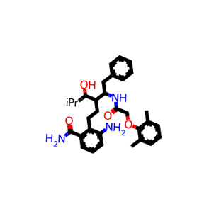 Cc1cccc(C)c1OCC(=O)NC(Cc1ccccc1)C(CCc1c(N)cccc1C(N)=O)C(O)C(C)C